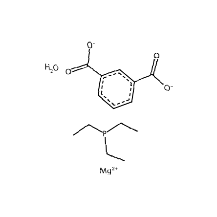 CCP(CC)CC.O.O=C([O-])c1cccc(C(=O)[O-])c1.[Mg+2]